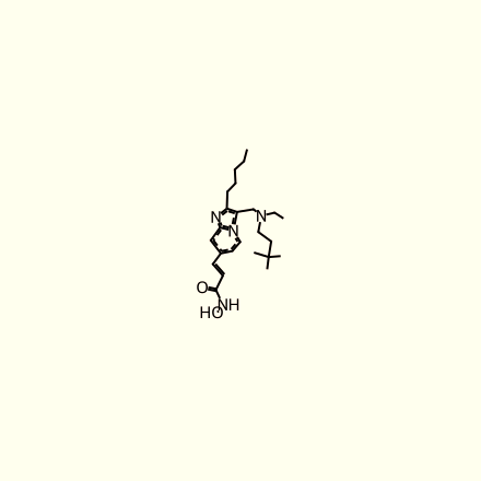 CCCCCc1nc2cc(/C=C/C(=O)NO)ccn2c1CN(CC)CCC(C)(C)C